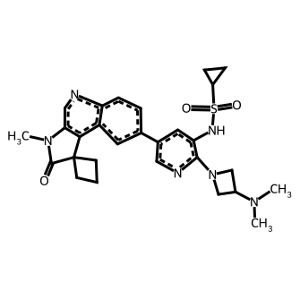 CN1C(=O)C2(CCC2)c2c1cnc1ccc(-c3cnc(N4CC(N(C)C)C4)c(NS(=O)(=O)C4CC4)c3)cc21